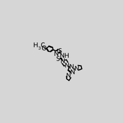 COc1ccc(-c2csc(NC(=S)N3CCN(c4cc(N5CCCC5)nc(N5CCCC5)n4)CC3)n2)cc1